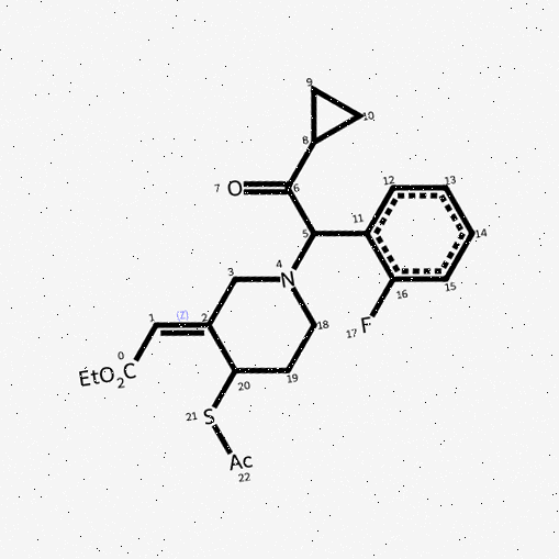 CCOC(=O)/C=C1/CN(C(C(=O)C2CC2)c2ccccc2F)CCC1SC(C)=O